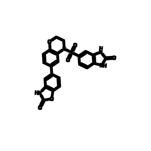 O=c1[nH]c2ccc(S(=O)(=O)N3CCOc4ccc(-c5ccc6oc(=O)[nH]c6c5)cc43)cc2[nH]1